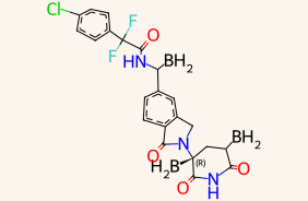 BC1C[C@@](B)(N2Cc3cc(C(B)NC(=O)C(F)(F)c4ccc(Cl)cc4)ccc3C2=O)C(=O)NC1=O